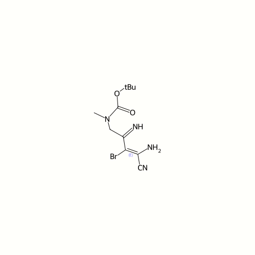 CN(CC(=N)/C(Br)=C(\N)C#N)C(=O)OC(C)(C)C